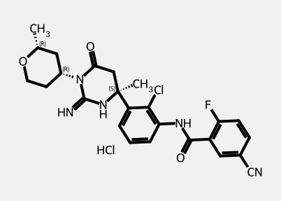 C[C@@H]1C[C@H](N2C(=N)N[C@](C)(c3cccc(NC(=O)c4cc(C#N)ccc4F)c3Cl)CC2=O)CCO1.Cl